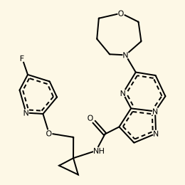 O=C(NC1(COc2ccc(F)cn2)CC1)c1cnn2ccc(N3CCCOCC3)nc12